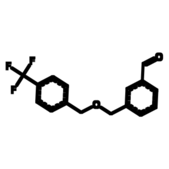 O=Cc1cccc(COCc2ccc(C(F)(F)F)cc2)c1